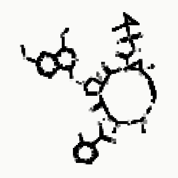 COc1ccc2c(O[C@@H]3C[C@H]4C(=O)N[C@]5(C(=O)NS(=O)(=O)C6(C)CC6)C[C@H]5C=CCC[C@@H](C)C[C@@H](C)[C@H](NC(=O)c5ccncc5F)C(=O)N4C3)ncc(OC)c2c1